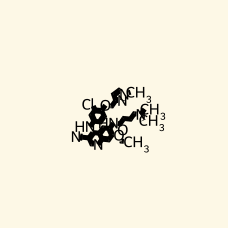 CCOc1cc2ncc(C#N)c(Nc3ccc(OCc4ccn(C)n4)c(Cl)c3)c2cc1NC(=O)CCCN(C)C